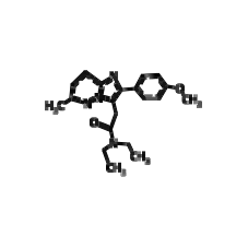 CCN(CC)C(=O)Cc1c(-c2ccc(OC)cc2)nc2ccc(C)nn12